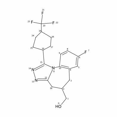 OCC1Cc2cc(F)ccc2-n2c(nnc2C2CCC(C(F)(F)F)CC2)C1